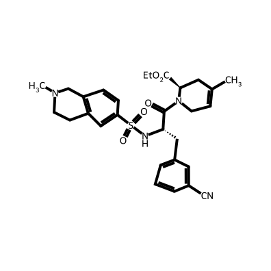 CCOC(=O)[C@H]1CC(C)=CCN1C(=O)[C@H](Cc1cccc(C#N)c1)NS(=O)(=O)c1ccc2c(c1)CCN(C)C2